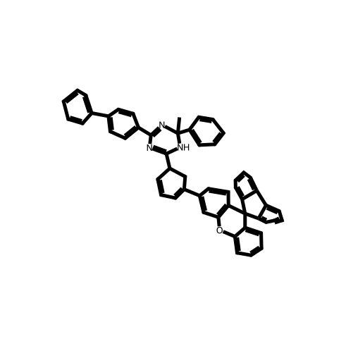 CC1(c2ccccc2)N=C(c2ccc(-c3ccccc3)cc2)N=C(C2C=CC=C(c3ccc4c(c3)Oc3ccccc3C43c4ccccc4-c4ccccc43)C2)N1